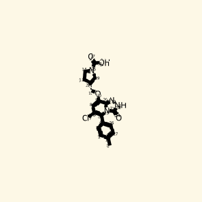 Cc1ccc(-c2c(Cl)cc(OC[C@@H]3CCN(C(=O)O)C3)c3n[nH]c(=O)n23)cc1